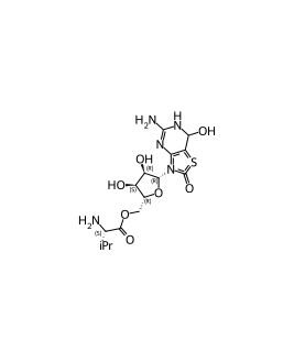 CC(C)[C@H](N)C(=O)OC[C@H]1O[C@@H](n2c3c(sc2=O)C(O)NC(N)=N3)[C@H](O)[C@@H]1O